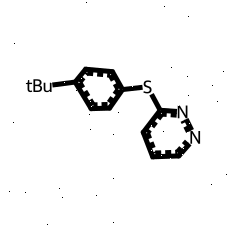 CC(C)(C)c1ccc(Sc2cccnn2)cc1